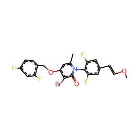 COC=Cc1cc(F)c(-n2c(C)cc(OCc3ccc(F)cc3F)c(Br)c2=O)c(F)c1